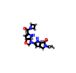 CN1Cc2cc(N3COc4cc(C(=O)N5CCC5)[nH]c43)[nH]c2C1=O